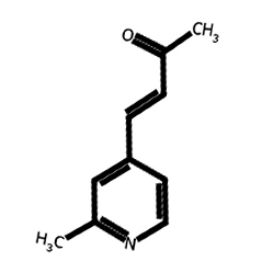 CC(=O)/C=C/c1ccnc(C)c1